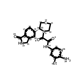 CCc1cc(NC(=O)C(=O)N2CCCC[C@H]2c2ccc3c(c2)CNC3=O)cnc1N